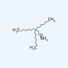 CCCCCCCC(CCCCCCC)(CCCCCCC)CCO[SiH3]